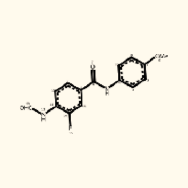 COc1ccc(NC(=O)c2ccc(NC=O)c(F)c2)cc1